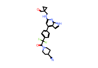 N#CC1CCN(C(=O)C(F)(F)c2ccc(-c3cc(NCC4(C=O)CC4)nc4[nH]ccc34)cc2)CC1